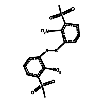 CS(=O)(=O)c1cccc(SSc2cccc(S(C)(=O)=O)c2[N+](=O)[O-])c1[N+](=O)[O-]